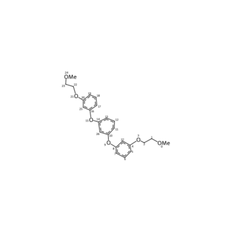 COCCOc1cccc(Oc2cccc(Oc3cccc(OCCOC)c3)c2)c1